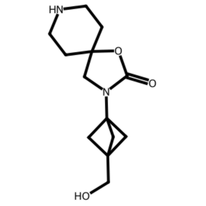 O=C1OC2(CCNCC2)CN1C12CC(CO)(C1)C2